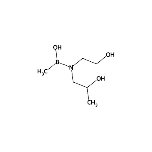 CB(O)N(CCO)CC(C)O